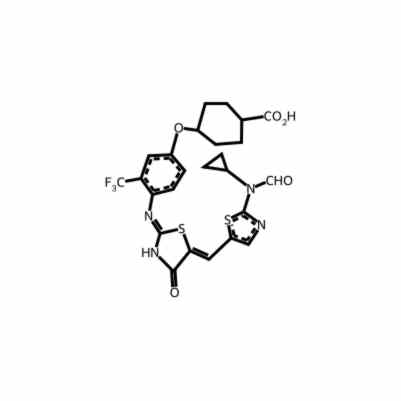 O=CN(c1ncc(/C=C2\S/C(=N\c3ccc(OC4CCC(C(=O)O)CC4)cc3C(F)(F)F)NC2=O)s1)C1CC1